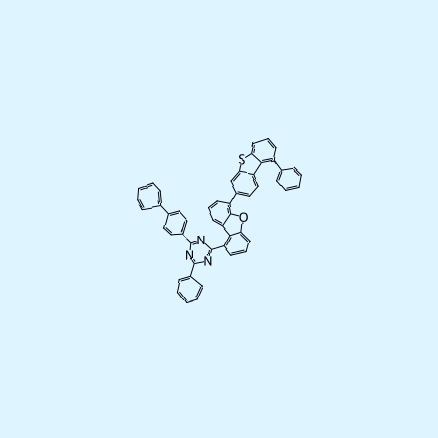 c1ccc(-c2ccc(-c3nc(-c4ccccc4)nc(-c4cccc5oc6c(-c7ccc8c(c7)sc7cccc(-c9ccccc9)c78)cccc6c45)n3)cc2)cc1